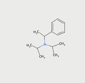 CC(C)N(C(C)C)C(C)c1ccccc1